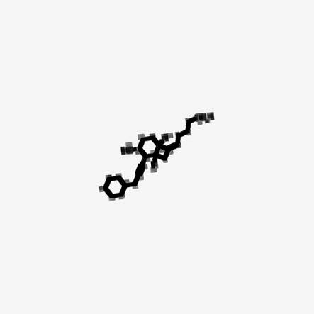 O=C(O)CCC/C=C1/C[C@@H]2[C@@H](C#CCC3CCCCC3)[C@H](O)CC[C@H]12